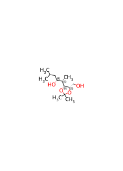 CC(C)C[C@@H](O)[C@H](C)[C@H]1OC(C)(C)O[C@H]1CO